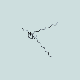 CCCCCCCCCc1n(CCC)cc[n+]1CCCCCCCCC